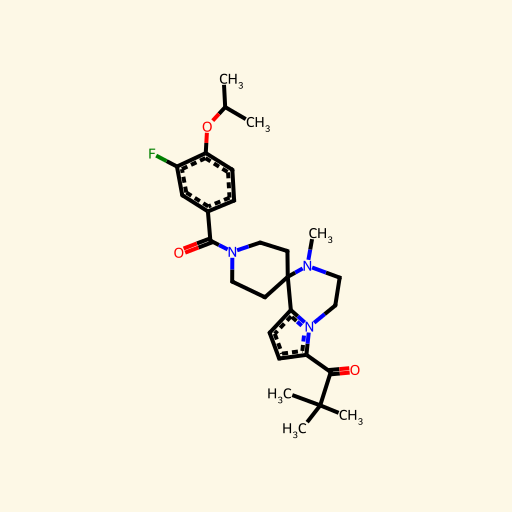 CC(C)Oc1ccc(C(=O)N2CCC3(CC2)c2ccc(C(=O)C(C)(C)C)n2CCN3C)cc1F